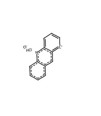 Cl.[C+]1=c2cc3ccccc3nc2=CC=C1.[Cl-]